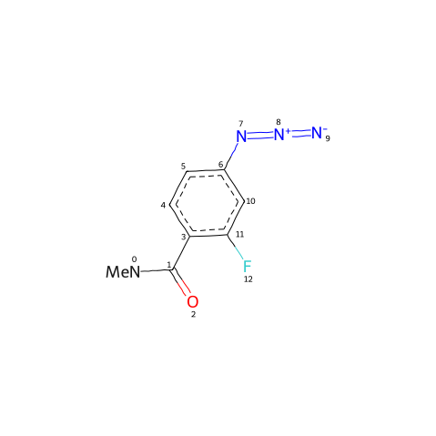 CNC(=O)c1ccc(N=[N+]=[N-])cc1F